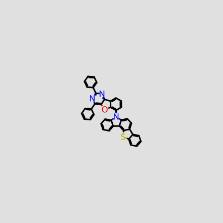 c1ccc(-c2nc(-c3ccccc3)c3oc4c(-n5c6ccccc6c6c7sc8ccccc8c7ccc65)cccc4c3n2)cc1